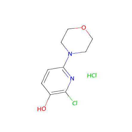 Cl.Oc1ccc(N2CCOCC2)nc1Cl